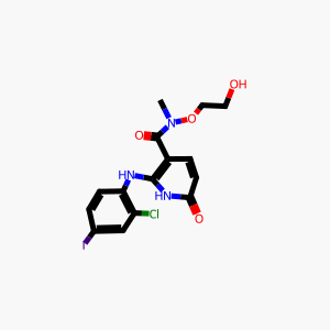 CN(OCCO)C(=O)c1ccc(=O)[nH]c1Nc1ccc(I)cc1Cl